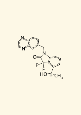 C[C@H](O)c1cccc2c1C(F)(F)C(=O)N2Cc1ccc2nccnc2c1